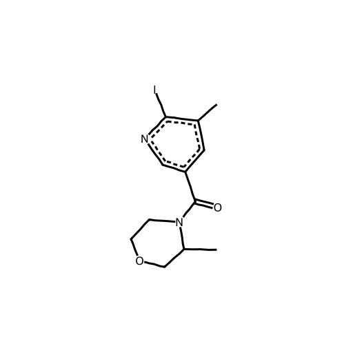 Cc1cc(C(=O)N2CCOCC2C)cnc1I